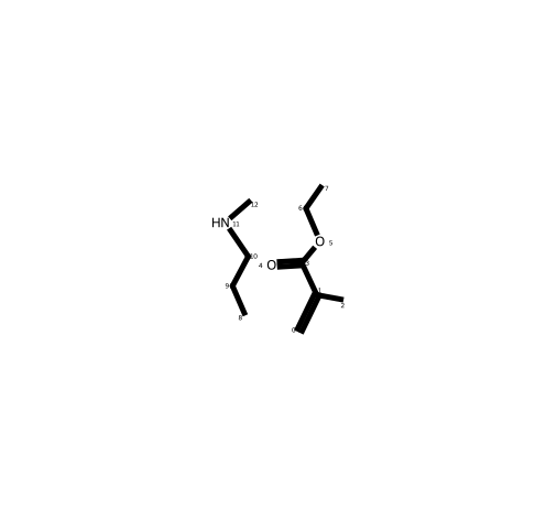 C=C(C)C(=O)OCC.CCCNC